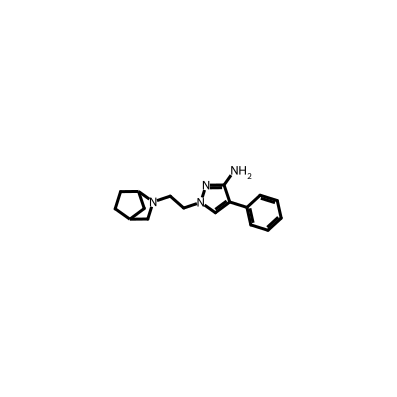 Nc1nn(CCN2CC3CCC2C3)cc1-c1ccccc1